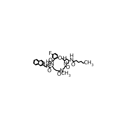 CCCCCC(=O)N[C@H]1C[C@H]2COc3ccc(F)cc3C(=O)N(C)[C@H](C(=O)NCc3ccc4ccccc4c3)CCC(=O)N(C)CC(=O)N2C1